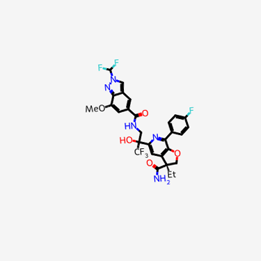 CC[C@]1(C(N)=O)COc2c1cc(C(O)(CNC(=O)c1cc(OC)c3nn(C(F)F)cc3c1)C(F)(F)F)nc2-c1ccc(F)cc1